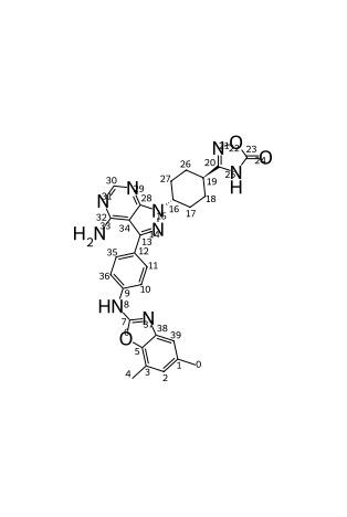 Cc1cc(C)c2oc(Nc3ccc(-c4nn([C@H]5CC[C@H](c6noc(=O)[nH]6)CC5)c5ncnc(N)c45)cc3)nc2c1